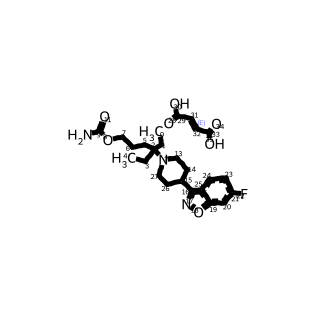 CCC(CC)(CCCOC(N)=O)N1CCC(c2noc3cc(F)ccc23)CC1.O=C(O)/C=C/C(=O)O